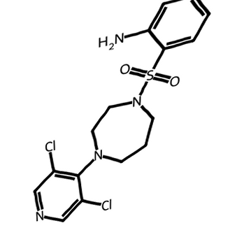 Nc1ccccc1S(=O)(=O)N1CCCN(c2c(Cl)cncc2Cl)CC1